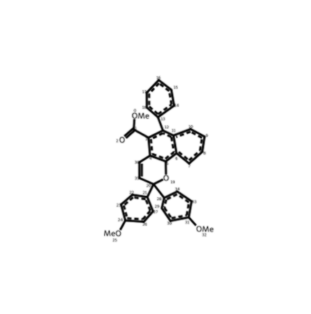 COC(=O)c1c2c(c3ccccc3c1-c1ccccc1)OC(c1ccc(OC)cc1)(c1ccc(OC)cc1)C=C2